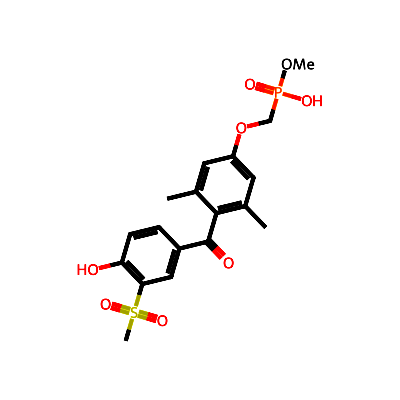 COP(=O)(O)COc1cc(C)c(C(=O)c2ccc(O)c(S(C)(=O)=O)c2)c(C)c1